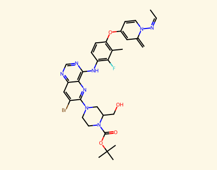 C=C1C=C(Oc2ccc(Nc3ncnc4cc(Br)c(N5CCN(C(=O)OC(C)(C)C)C(CO)C5)nc34)c(F)c2C)C=CN1/N=C\C